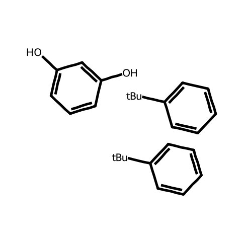 CC(C)(C)c1ccccc1.CC(C)(C)c1ccccc1.Oc1cccc(O)c1